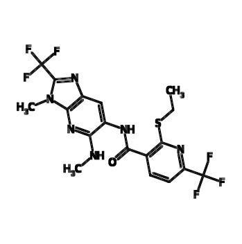 CCSc1nc(C(F)(F)F)ccc1C(=O)Nc1cc2nc(C(F)(F)F)n(C)c2nc1NC